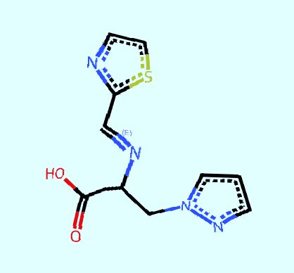 O=C(O)C(Cn1cccn1)/N=C/c1nccs1